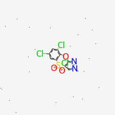 Cn1ccc(Oc2c(Cl)cc(Cl)cc2S(=O)(=O)Cl)n1